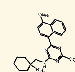 COc1ccc(-c2nc(NCC3(N)CCCCC3)nc(C(Cl)(Cl)Cl)n2)c2ccccc12